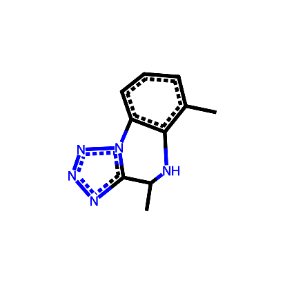 Cc1cccc2c1NC(C)c1nnnn1-2